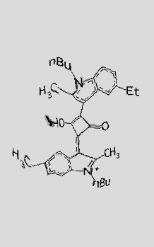 CCCCn1c(C)c(C2=C(O)/C(=C3/C(C)=[N+](CCCC)c4ccc(C)cc43)C2=O)c2cc(CC)ccc21